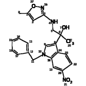 Cc1cc(NCC(O)(c2cn(Cc3ccccc3)c3cc([N+](=O)[O-])ccc23)C(F)(F)F)no1